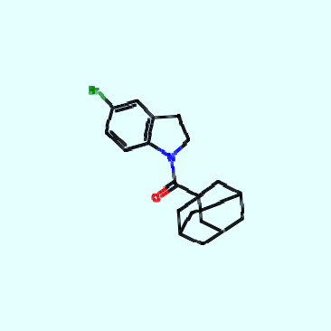 O=C(N1CCc2cc(Br)ccc21)C12CC3CC(CC(C3)C1)C2